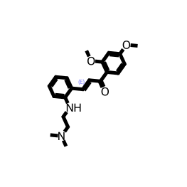 COc1ccc(C(=O)/C=C/c2ccccc2NCCN(C)C)c(OC)c1